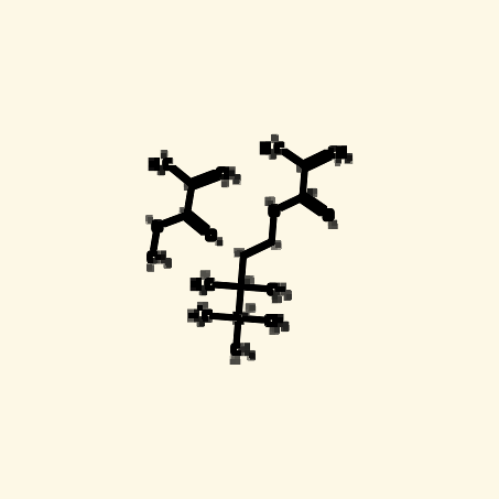 C=C(C)C(=O)OC.C=C(C)C(=O)OCCC(C)(C)[N+](C)(C)C